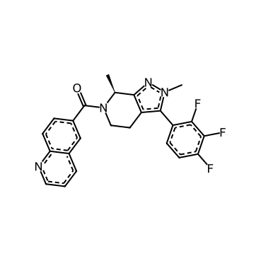 C[C@H]1c2nn(C)c(-c3ccc(F)c(F)c3F)c2CCN1C(=O)c1ccc2ncccc2c1